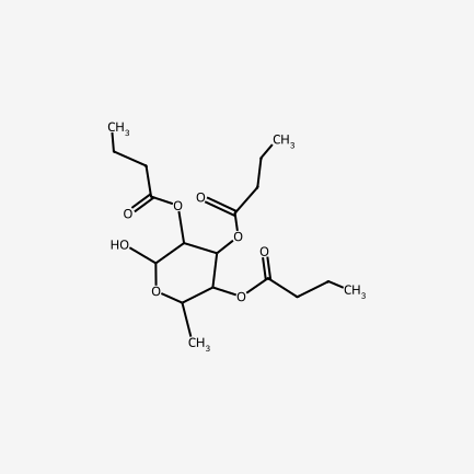 CCCC(=O)OC1C(C)OC(O)C(OC(=O)CCC)C1OC(=O)CCC